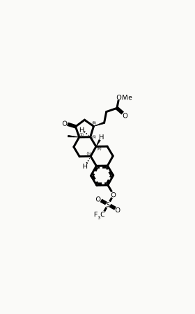 COC(=O)CC[C@@H]1CC(=O)[C@@]2(C)CC[C@@H]3c4ccc(OS(=O)(=O)C(F)(F)F)cc4CC[C@H]3[C@H]12